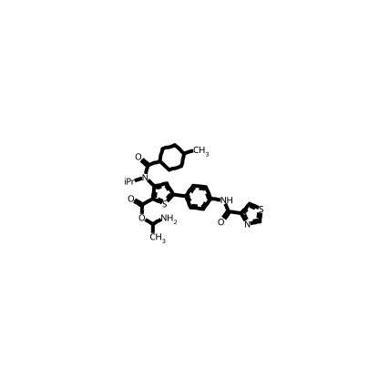 CC1CCC(C(=O)N(c2cc(-c3ccc(NC(=O)c4cscn4)cc3)sc2C(=O)OC(C)N)C(C)C)CC1